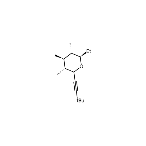 CC[C@H]1OC(C#CC(C)(C)C)[C@H](C)[C@@H](C)[C@@H]1C